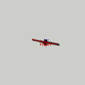 CCCCCCCCC=CCCCCCCCCC(CCCCCCCCC=CCCCCCCCC)(C[N+](C)(C)C)OP(=O)(O)O